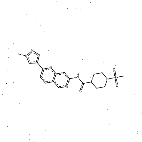 Cn1cc(-c2ccc3cnc(NC(=O)C4CCN(S(C)(=O)=O)CC4)cc3n2)cn1